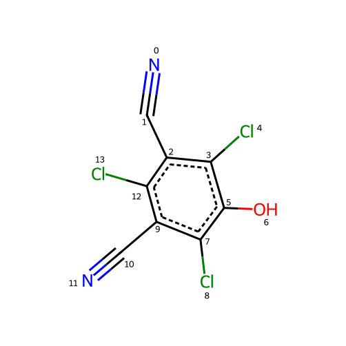 N#Cc1c(Cl)c(O)c(Cl)c(C#N)c1Cl